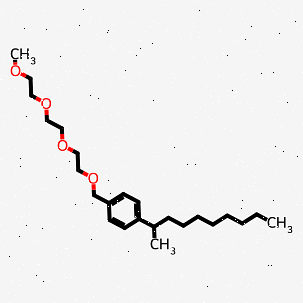 CCCCCCCCC(C)c1ccc(COCCOCCOCCOC)cc1